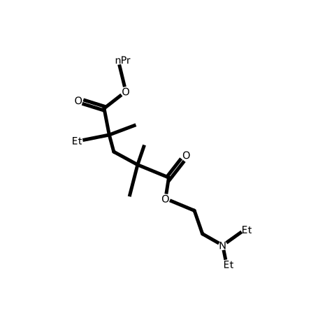 CCCOC(=O)C(C)(CC)CC(C)(C)C(=O)OCCN(CC)CC